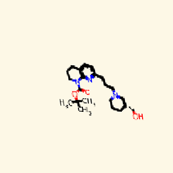 CC(C)(C)OC(=O)N1CCCc2ccc(CCCN3CCC[C@@H](CO)C3)nc21